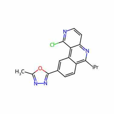 Cc1nnc(-c2ccc3c(C(C)C)nc4ccnc(Cl)c4c3c2)o1